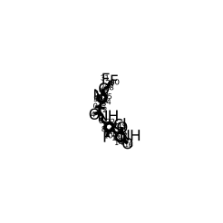 CC(C)(C(=O)NCc1cc(F)c(C2CCC(=O)NC2=O)c(Cl)c1)c1ccc(OCC(F)F)nc1